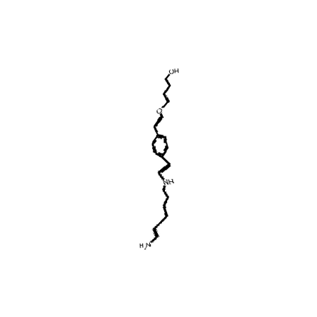 NCCCCCCNC=Cc1ccc(C=COCCCCO)cc1